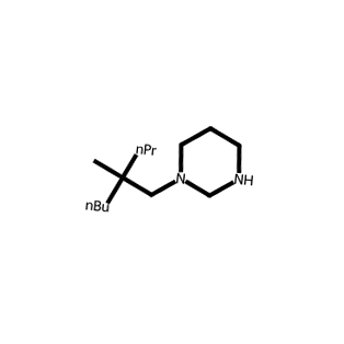 CCCCC(C)(CCC)CN1CCCNC1